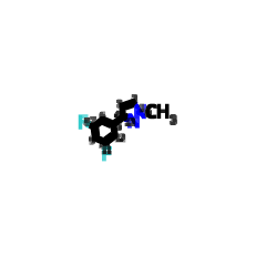 Cn1ccc(-c2cc(F)cc(F)c2)n1